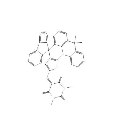 CN1C(=O)C(=Cc2cc3c(s2)N2c4ccccc4C(C)(C)c4cccc(c42)C32c3ccccc3-c3ccccc32)C(=O)N(C)C1=O